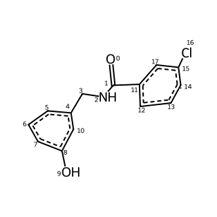 O=C(NCc1cccc(O)c1)c1cc[c]c(Cl)c1